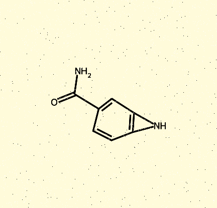 NC(=O)c1ccc2c(c1)N2